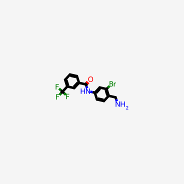 NCc1ccc(NC(=O)c2cccc(C(F)(F)F)c2)cc1Br